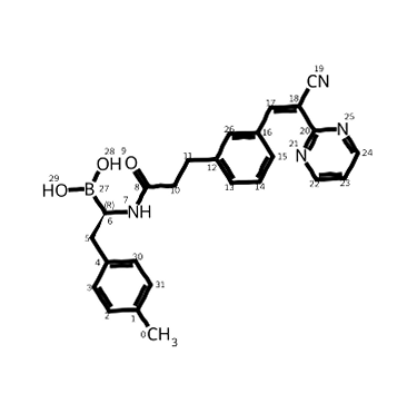 Cc1ccc(C[C@H](NC(=O)CCc2cccc(C=C(C#N)c3ncccn3)c2)B(O)O)cc1